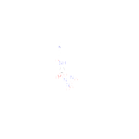 CCOC(=O)N1CCN(C(O)Oc2ccc(CNC(=O)CCCC/C=C/C(C)C)cc2OC)C(CN(C)C(=O)OC(C)(C)C)C1